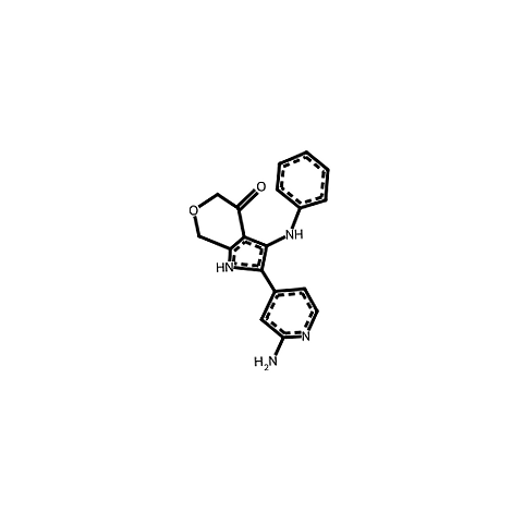 Nc1cc(-c2[nH]c3c(c2Nc2ccccc2)C(=O)COC3)ccn1